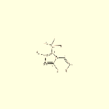 Cc1nc2ccccn2c1C(C)(C)C